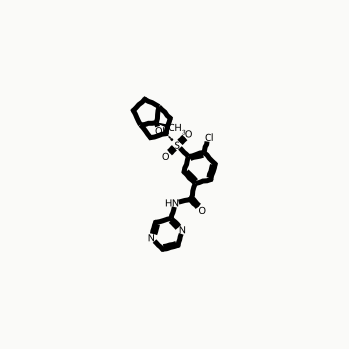 C[C@]1(O)C2CCC1C[C@@H](S(=O)(=O)c1cc(C(=O)Nc3cnccn3)ccc1Cl)C2